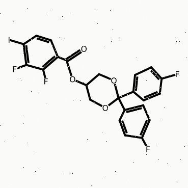 O=C(OC1COC(c2ccc(F)cc2)(c2ccc(F)cc2)OC1)c1ccc(I)c(F)c1F